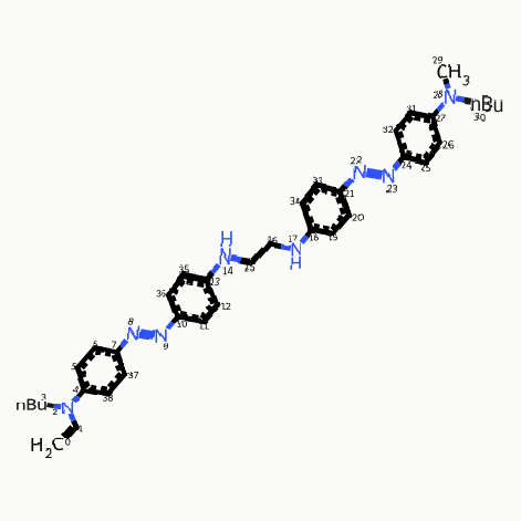 C=CN(CCCC)c1ccc(/N=N/c2ccc(NCCNc3ccc(/N=N/c4ccc(N(C)CCCC)cc4)cc3)cc2)cc1